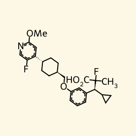 COc1cc([C@H]2CC[C@H](COc3cccc([C@H](C4CC4)C(C)(F)C(=O)O)c3)CC2)c(F)cn1